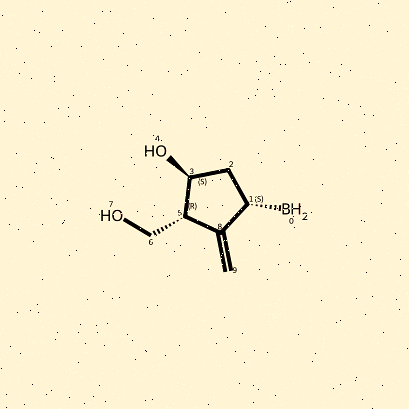 B[C@H]1C[C@H](O)[C@@H](CO)C1=C